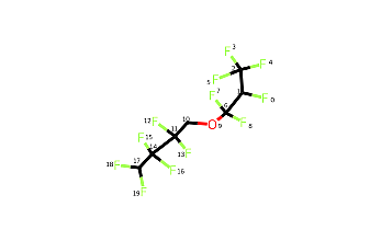 FC(C(F)(F)F)C(F)(F)OCC(F)(F)C(F)(F)C(F)F